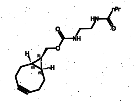 CCCC(=O)NCCNC(=O)OC[C@@H]1[C@@H]2CCC#CCC[C@@H]21